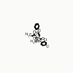 CCC(C)SP(=O)(OC)N(CCOc1ccccc1)C(=O)Nc1ccc(Cl)cc1Cl